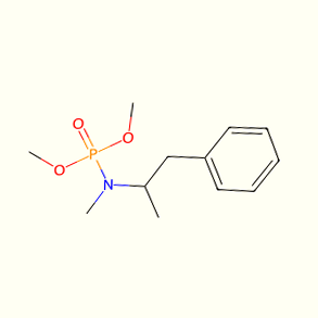 COP(=O)(OC)N(C)C(C)Cc1ccccc1